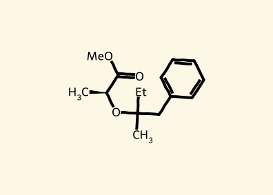 CCC(C)(Cc1ccccc1)O[C@@H](C)C(=O)OC